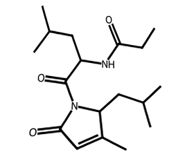 CCC(=O)NC(CC(C)C)C(=O)N1C(=O)C=C(C)C1CC(C)C